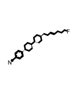 N#Cc1ccc([C@H]2CC[C@H]([C@H]3CC[C@H](CCC=CCCCF)CC3)CC2)cc1